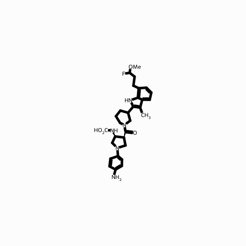 COC(F)CCc1cccc2c(C)c(C3CCCN(C(=O)[C@H]4CN(c5ccc(N)cc5)C[C@H]4NC(=O)O)C3)[nH]c12